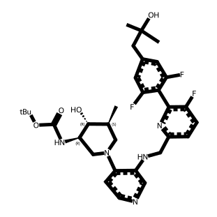 C[C@H]1CN(c2ccncc2NCc2ccc(F)c(-c3c(F)cc(CC(C)(C)O)cc3F)n2)C[C@@H](NC(=O)OC(C)(C)C)[C@@H]1O